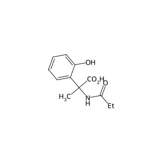 CCC(=O)NC(C)(C(=O)O)c1ccccc1O